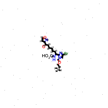 C[Si](C)(C)CCOCn1cc(Br)nc1C(CC=CCCC(=O)c1ccon1)NC(=O)O